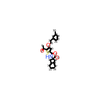 CC(=O)c1sc(C(=O)NC2([C]=O)Cc3ccccc3C2)cc1OCCc1cccc(C)c1